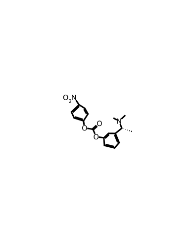 C[C@H](c1cccc(OC(=O)Oc2ccc([N+](=O)[O-])cc2)c1)N(C)C